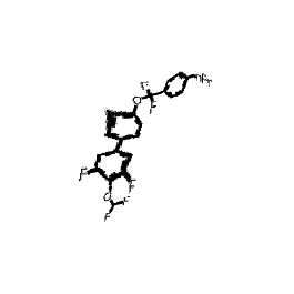 CCCc1ccc(C(F)(F)Oc2ccc(-c3cc(F)c(OC(F)F)c(F)c3)cc2)cc1